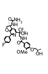 COc1cc(C(=O)NCC(O)(c2cc3c(c(-c4ccc(F)cc4)n2)OC[C@@]3(C)NC(N)=O)C(F)(F)F)ccc1OC[C@@H](C)O